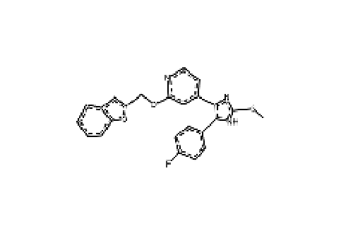 CSc1nc(-c2ccnc(OCc3cc4ccccc4o3)c2)c(-c2ccc(F)cc2)[nH]1